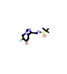 CC(C)(C)[S+]([O-])N=Cc1ncn2cc(F)c(Br)cc12